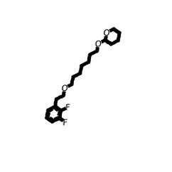 Fc1cccc(CCOCCCCCCCOC2CCCCO2)c1F